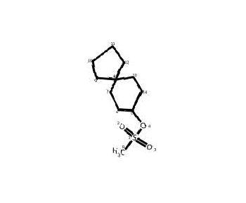 CS(=O)(=O)OC1CCC2(CCCC2)CC1